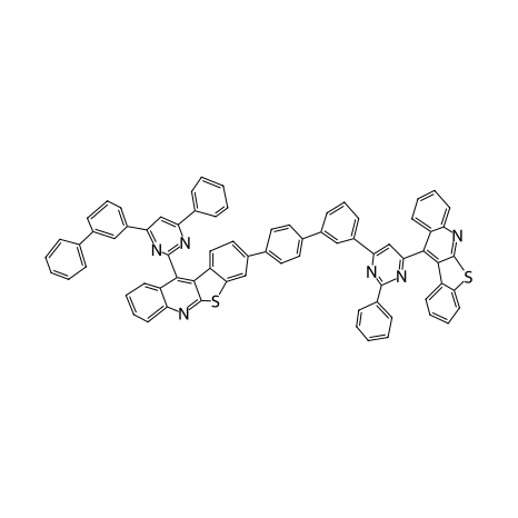 c1ccc(-c2cccc(-c3cc(-c4ccccc4)nc(-c4c5ccccc5nc5sc6cc(-c7ccc(-c8cccc(-c9cc(-c%10c%11ccccc%11nc%11sc%12ccccc%12c%10%11)nc(-c%10ccccc%10)n9)c8)cc7)ccc6c45)n3)c2)cc1